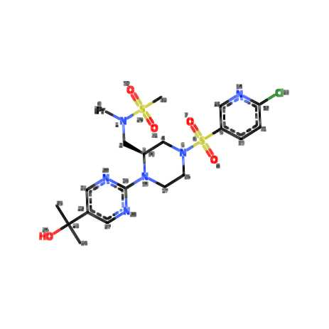 CC(C)N(C[C@H]1CN(S(=O)(=O)c2ccc(Cl)nc2)CCN1c1ncc(C(C)(C)O)cn1)S(C)(=O)=O